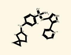 NS(=O)(=Nc1c[nH]nc1-c1ccccn1)c1ccc(OC2CCC3(CC3)C2)cc1